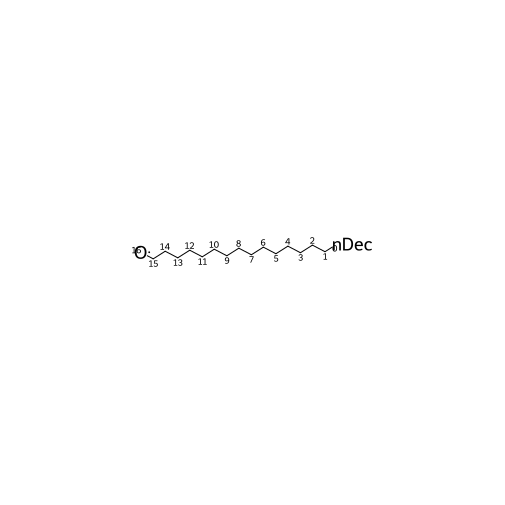 CCCCCCCCCCCCCCCCCCCCCCCCC[O]